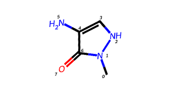 Cn1[nH]cc(N)c1=O